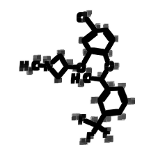 CC(Oc1ccc(Cl)cc1OC1CN(C)C1)c1cccc(C(F)(F)F)c1